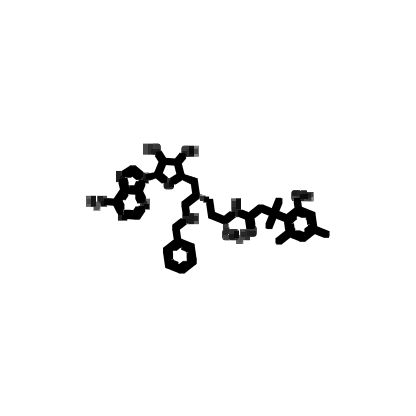 CC(=O)Oc1cc(C)cc(C)c1C(C)(C)CC(=O)N[C@@H](CC[C@H](CNCc1ccccc1)C[C@H]1O[C@@H](n2cnc3c(N)ncnc32)C(O)C1O)C(=O)O